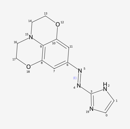 c1c[nH]c(/N=N/c2cc3c4c(c2)OCCN4CCO3)n1